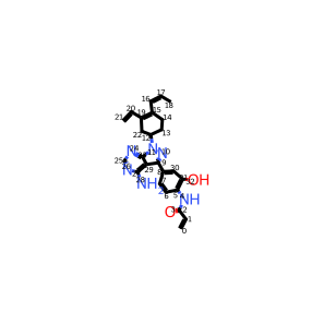 C=CC(=O)Nc1ccc(-c2nn(C3CCC(/C=C\C)=C(C=C)C3)c3ncnc(N)c23)cc1O